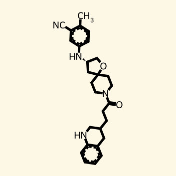 Cc1ccc(N[C@@H]2COC3(CCN(C(=O)CCC4CNc5ccccc5C4)CC3)C2)cc1C#N